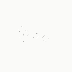 COc1ccc(-c2ccc(-c3nc4ccc(F)cc4c(C(=O)O)c3O)cc2)cc1